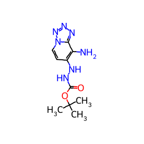 CC(C)(C)OC(=O)NNc1ccn2nnnc2c1N